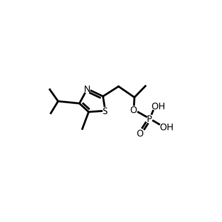 Cc1sc(CC(C)OP(=O)(O)O)nc1C(C)C